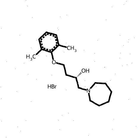 Br.Cc1cccc(C)c1OCC[C@H](O)CN1CCCCCC1